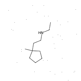 CCNCCC1(C)CCCC1